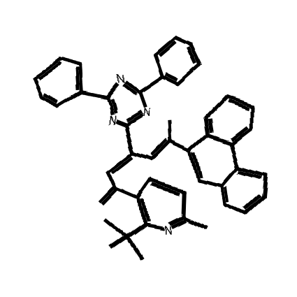 C=C(/C=C(\C=C(/C)c1cc2ccccc2c2ccccc12)c1nc(-c2ccccc2)nc(-c2ccccc2)n1)c1ccc(C)nc1C(C)(C)C